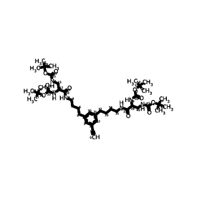 C#Cc1cc(CCCCNC(=O)C(CNC(=O)OC(C)(C)C)NC(=O)OC(C)(C)C)cc(CCCCNC(=O)C(CNC(=O)OC(C)(C)C)NC(=O)OC(C)(C)C)c1